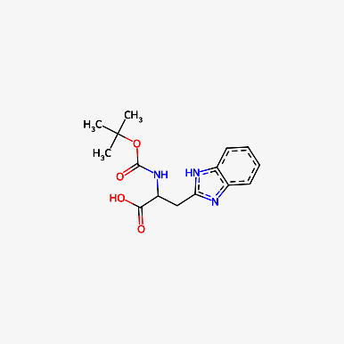 CC(C)(C)OC(=O)NC(Cc1nc2ccccc2[nH]1)C(=O)O